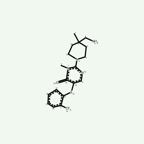 Cn1c(N2CCC(C)(CN)CC2)ncc(Sc2ccccc2C(F)(F)F)c1=O